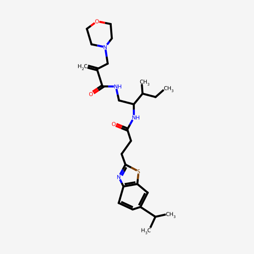 C=C(CN1CCOCC1)C(=O)NCC(NC(=O)CCc1nc2ccc(C(C)C)cc2s1)C(C)CC